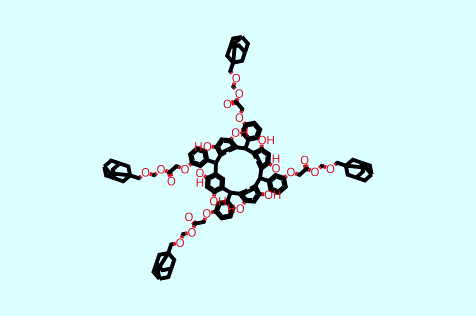 O=C(COc1cccc(C2c3cc(c(O)cc3O)C(c3cccc(OCC(=O)OCOCC45CC6CC(CC(C6)C4)C5)c3)c3cc(c(O)cc3O)C(c3cccc(OCC(=O)OCOCC45CC6CC(CC(C6)C4)C5)c3)c3cc(c(O)cc3O)C(c3cccc(OCC(=O)OCOCC45CC6CC(CC(C6)C4)C5)c3)c3cc2c(O)cc3O)c1)OCOCC12CC3CC(CC(C3)C1)C2